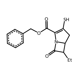 CCC1C(=O)N2C(C(=O)OCc3ccccc3)=C(S)CC12